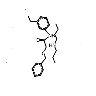 CCCCNCCC.CCc1cccc(NC(=O)COCc2ccccc2)c1